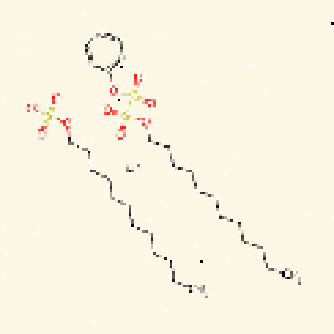 CCCCCCCCCCCCOS(=O)(=O)S(=O)(=O)Oc1ccccc1.CCCCCCCCCCCCOS(=O)(=O)[O-].[Li+]